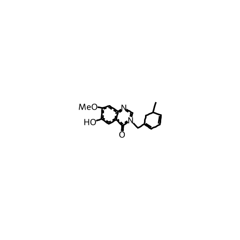 COc1cc2ncn(CC3=CC=CC(C)C3)c(=O)c2cc1O